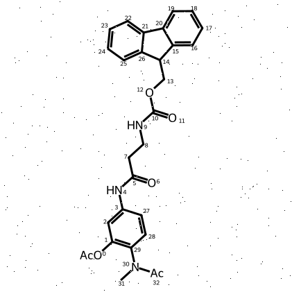 CC(=O)Oc1cc(NC(=O)CCNC(=O)OCC2c3ccccc3-c3ccccc32)ccc1N(C)C(C)=O